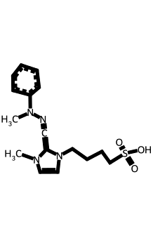 CN1C=CN(CCCCS(=O)(=O)O)C1=C=NN(C)c1ccccc1